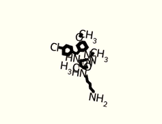 COc1ccc2c(c1)C(c1ccc(Cl)cc1)N[C@@H]([C@@H](C)C(=O)NCCCCCN)c1nnc(C)n1-2